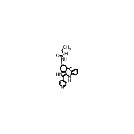 CCNC(=O)NC[C@@H]1CC(=O)c2c([nH]c(-c3ccncc3)c2Nc2ccccc2)C1